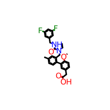 CCN(Cc1cc(C)ccc1-c1cc(CC(=O)O)ccc1OC)C(=O)NCc1cc(F)cc(F)c1